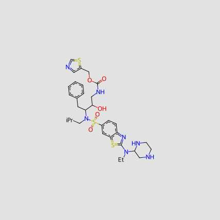 CCN(c1nc2ccc(S(=O)(=O)N(CC(C)C)C(Cc3ccccc3)C(O)CNC(=O)OCc3cncs3)cc2s1)C1CNCCN1